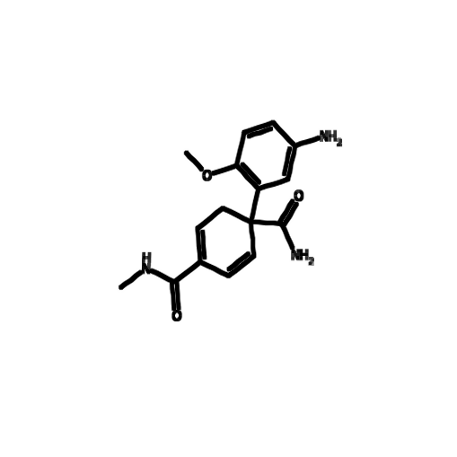 CNC(=O)C1=CCC(C(N)=O)(c2cc(N)ccc2OC)C=C1